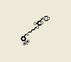 CS(=O)(=O)c1cccc(CSCCCCCOc2coc(CN3CCOCC3)cc2=O)c1